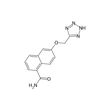 NC(=O)c1[c]ccc2cc(OCc3nn[nH]n3)ccc12